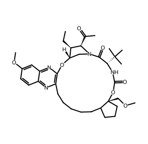 CC[C@@H]1[C@@H]2CN(C(=O)[C@H](C(C)(C)C)NC(=O)O[C@]3(COC)CCCC3CCCCCc3nc4ccc(OC)cc4nc3O2)[C@@H]1C(C)=O